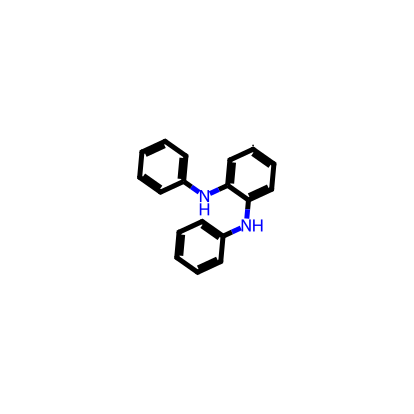 [c]1ccc(Nc2ccccc2)c(Nc2ccccc2)c1